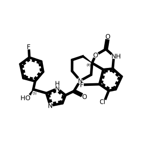 O=C1Nc2ccc(Cl)c(F)c2[C@@]2(CCCN(C(=O)c3cnc([C@@H](O)c4ccc(F)cc4)[nH]3)C2)O1